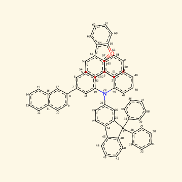 c1ccc(-c2ccc(-c3ccc4ccccc4c3)cc2N(c2ccc3c(c2)C(c2ccccc2)(c2ccccc2)c2ccccc2-3)c2ccccc2-c2cccc3c2oc2ccccc23)cc1